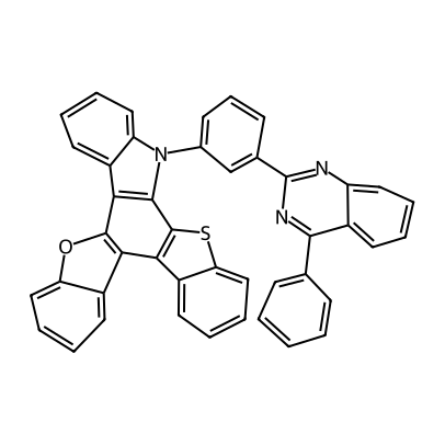 c1ccc(-c2nc(-c3cccc(-n4c5ccccc5c5c6oc7ccccc7c6c6c7ccccc7sc6c54)c3)nc3ccccc23)cc1